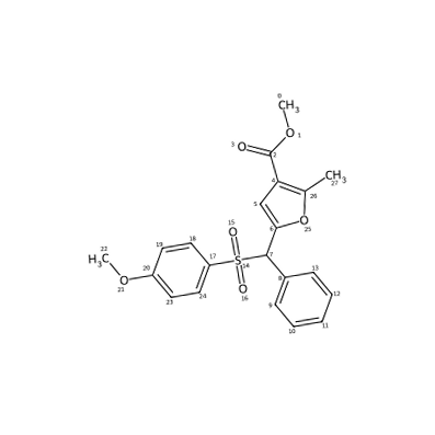 COC(=O)c1cc(C(c2ccccc2)S(=O)(=O)c2ccc(OC)cc2)oc1C